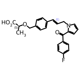 C[C@H](OCc1ccc(/C=C/Cn2cccc2C(=O)c2ccc(F)cc2)cc1)C(=O)O